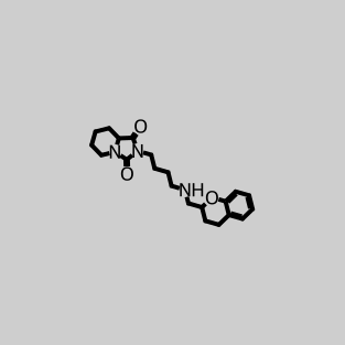 O=C1C2CCCCN2C(=O)N1CCCCNCC1CCc2ccccc2O1